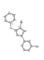 Clc1cccc(-c2cn(Cc3ccccc3)c(Br)n2)c1